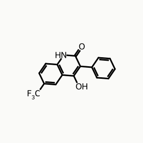 O=c1[nH]c2ccc(C(F)(F)F)cc2c(O)c1-c1ccccc1